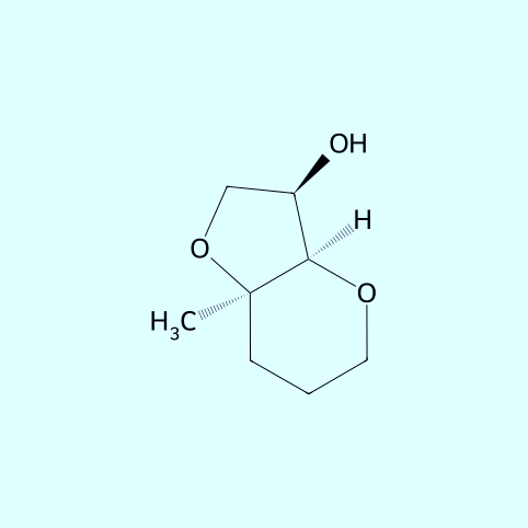 C[C@@]12CCCO[C@@H]1[C@H](O)CO2